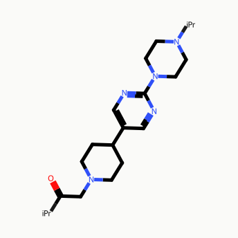 CC(C)C(=O)CN1CCC(c2cnc(N3CCN(C(C)C)CC3)nc2)CC1